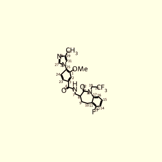 COc1cc(C(=O)NCC2CCc3c(F)cccc3N(CC(F)(F)F)C2=O)ccc1-n1cnc(C)c1